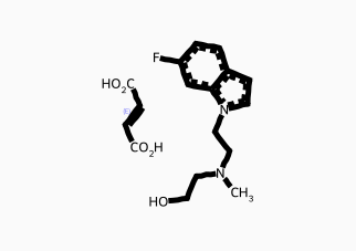 CN(CCO)CCn1ccc2ccc(F)cc21.O=C(O)/C=C/C(=O)O